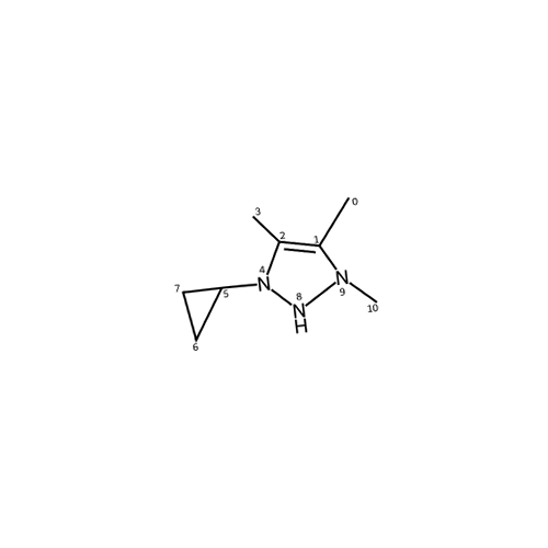 CC1=C(C)N(C2CC2)NN1C